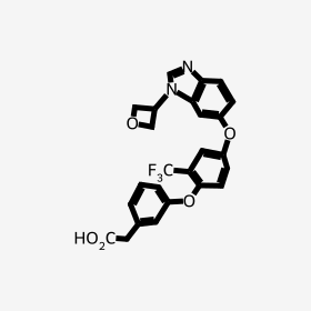 O=C(O)Cc1cccc(Oc2ccc(Oc3ccc4ncn(C5COC5)c4c3)cc2C(F)(F)F)c1